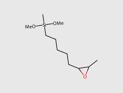 CO[Si](C)(CCCCCC1OC1C)OC